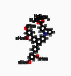 CCCCCCOc1ccc(-c2ccc(C(=Cc3ccc(N4c5ccc(B6OC(C)(C)C(C)(C)O6)cc5C5CCCC54)cc3)c3ccc(-c4ccc(OCCCCCC)cc4OCCCCCC)cc3)cc2)c(OCCCCCC)c1